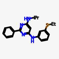 CCSc1cccc(Nc2cc(NC(C)C)nc(-c3ccccc3)n2)c1